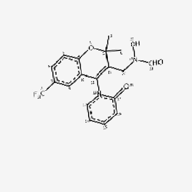 CC1(C)Oc2ccc(C(F)(F)F)cc2C(n2ccccc2=O)=C1CN(O)C=O